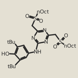 CCCCCCCCS(=O)(=O)Cc1nc(CS(=O)(=O)CCCCCCCC)nc(Nc2cc(C(C)(C)C)c(O)c(C(C)(C)C)c2)n1